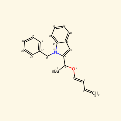 C=CC=COC(CCCC)c1cc2ccccc2n1Cc1ccccc1